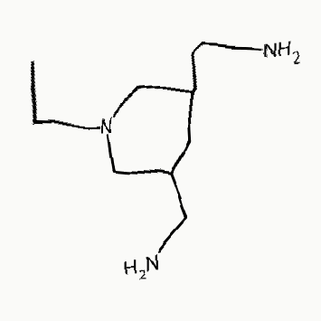 CCN1CC(CN)CC(CN)C1